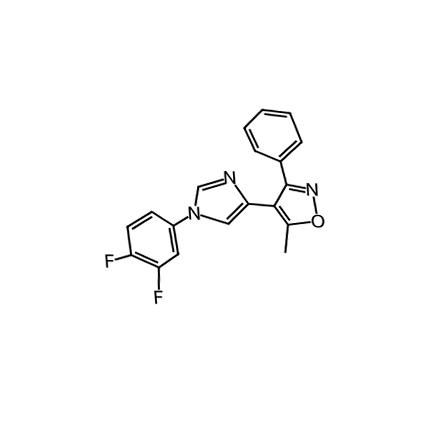 Cc1onc(-c2ccccc2)c1-c1cn(-c2ccc(F)c(F)c2)cn1